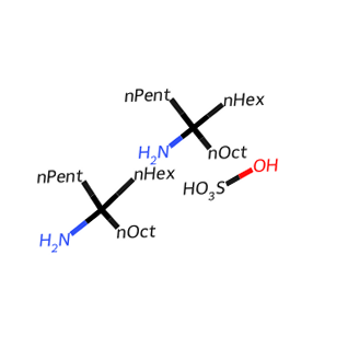 CCCCCCCCC(N)(CCCCC)CCCCCC.CCCCCCCCC(N)(CCCCC)CCCCCC.O=S(=O)(O)O